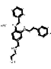 Cl.OCCNCc1ccc(OCc2ccccc2)c(OCCc2ccccc2)c1